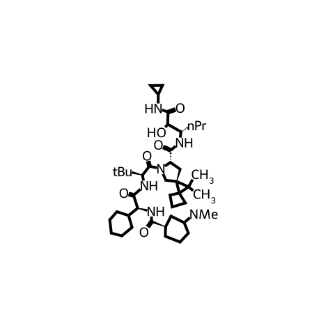 CCC[C@H](NC(=O)[C@@H]1C[C@@]2(CN1C(=O)[C@@H](NC(=O)[C@@H](NC(=O)[C@@H]1CCCC(NC)C1)C1CCCCC1)C(C)(C)C)C(C)(C)C21CCC1)C(O)C(=O)NC1CC1